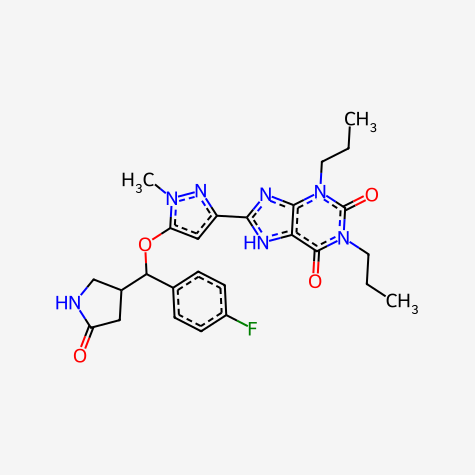 CCCn1c(=O)c2[nH]c(-c3cc(OC(c4ccc(F)cc4)C4CNC(=O)C4)n(C)n3)nc2n(CCC)c1=O